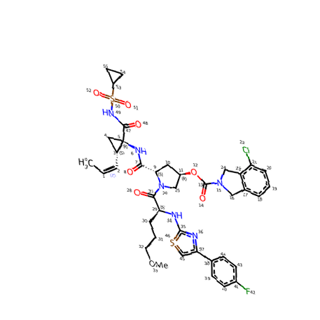 C/C=C\[C@@H]1C[C@]1(NC(=O)[C@@H]1C[C@@H](OC(=O)N2Cc3cccc(Cl)c3C2)CN1C(=O)[C@H](CCCOC)Nc1nc(-c2ccc(F)cc2)cs1)C(=O)NS(=O)(=O)C1CC1